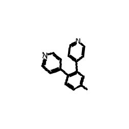 Cc1ccc(-c2ccncc2)c(-c2ccncc2)c1